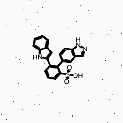 O=S(=O)(O)c1cccc(-c2cc3ccccc3[nH]2)c1-c1ccc2[nH]ncc2c1